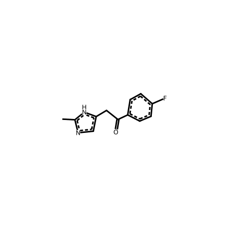 Cc1ncc(CC(=O)c2ccc(F)cc2)[nH]1